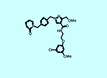 COCc1nn(Cc2ccc(Cn3ccccc3=O)cc2)cc1C(=O)NCCOc1cc(Cl)cc(OC)c1